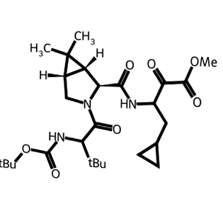 COC(=O)C(=O)C(CC1CC1)NC(=O)[C@@H]1[C@@H]2[C@H](CN1C(=O)C(NC(=O)OC(C)(C)C)C(C)(C)C)C2(C)C